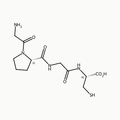 NCC(=O)N1CCC[C@H]1C(=O)NCC(=O)N[C@@H](CS)C(=O)O